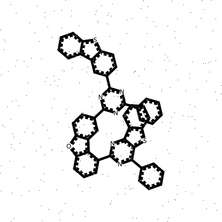 c1ccc(-c2nc(-c3ccc4sc5ccccc5c4c3)nc(-c3ccc4oc5cccc(-c6nc(-c7ccccc7)c7sc8ccccc8c7n6)c5c4c3)n2)cc1